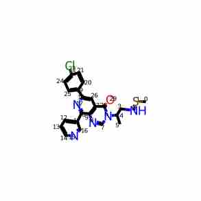 CSNCC(C)n1cnc2c(-c3cccnc3)nc(-c3ccc(Cl)cc3)cc2c1=O